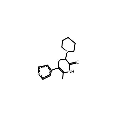 CC1=C(c2ccncc2)SC(N2CCCCC2)C(=O)N1